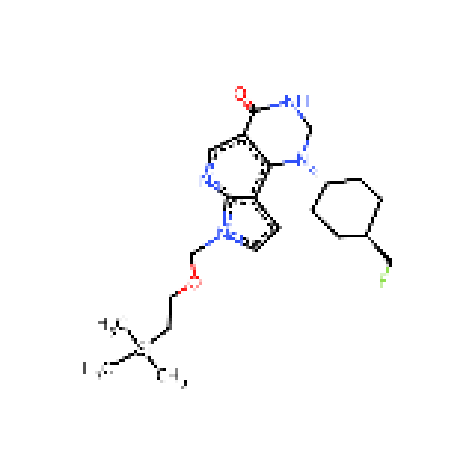 C[Si](C)(C)CCOCn1ccc2c3c(cnc21)C(=O)NCN3[C@H]1CC[C@H](CF)CC1